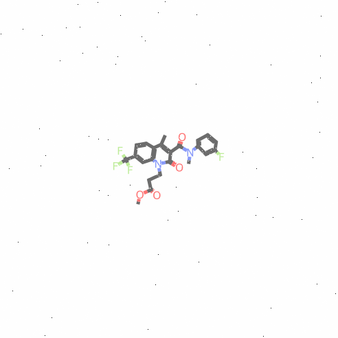 COC(=O)CCn1c(=O)c(C(=O)N(C)c2cccc(F)c2)c(C)c2ccc(C(F)(F)F)cc21